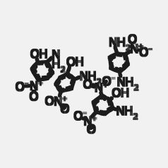 Nc1cc([N+](=O)[O-])cc([N+](=O)[O-])c1O.Nc1cc([N+](=O)[O-])ccc1O.Nc1ccc(N)c([N+](=O)[O-])c1.Nc1ccc([N+](=O)[O-])cc1O